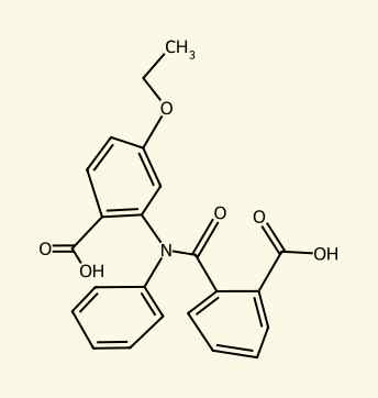 CCOc1ccc(C(=O)O)c(N(C(=O)c2ccccc2C(=O)O)c2ccccc2)c1